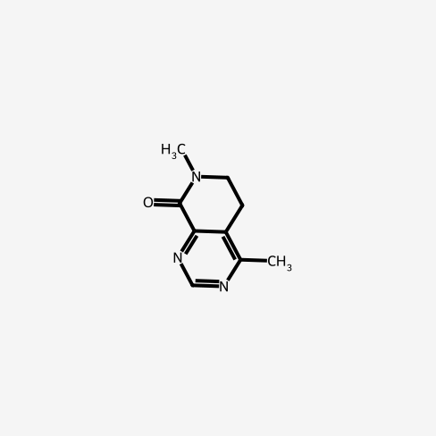 Cc1ncnc2c1CCN(C)C2=O